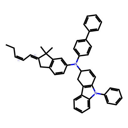 CC/C=C\C=C1/Cc2ccc(N(c3ccc(-c4ccccc4)cc3)C3C=Cc4c(c5ccccc5n4-c4ccccc4)C3)cc2C1(C)C